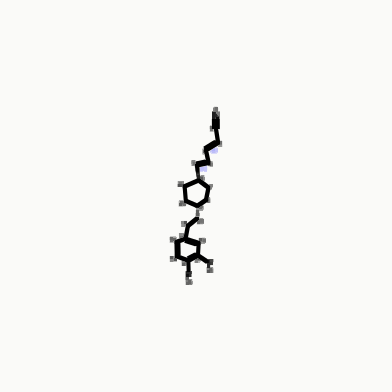 N#C/C=C/C=C/[C@H]1CC[C@H](CCc2ccc(F)c(F)c2)CC1